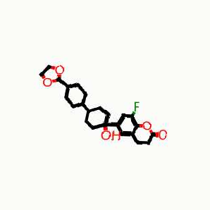 O=C1CCc2cc(C3(O)CCC(C4CCC(C5OCCO5)CC4)CC3)cc(F)c2O1